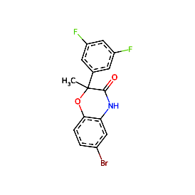 CC1(c2cc(F)cc(F)c2)Oc2ccc(Br)cc2NC1=O